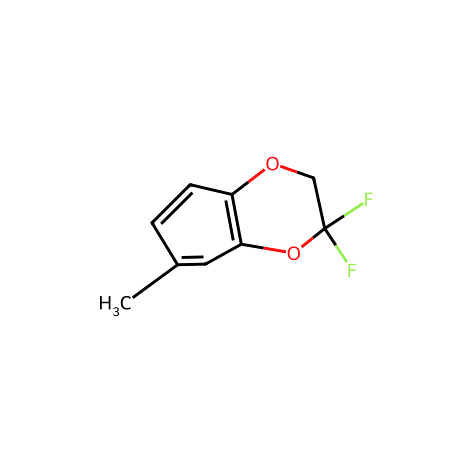 Cc1ccc2c(c1)OC(F)(F)CO2